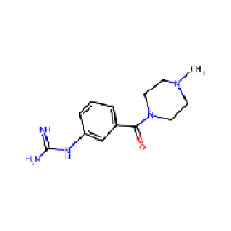 CN1CCN(C(=O)c2cccc(NC(=N)N)c2)CC1